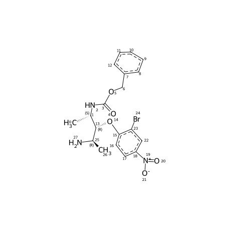 C[C@H](NC(=O)OCc1ccccc1)[C@H](Oc1ccc([N+](=O)[O-])cc1Br)[C@@H](C)N